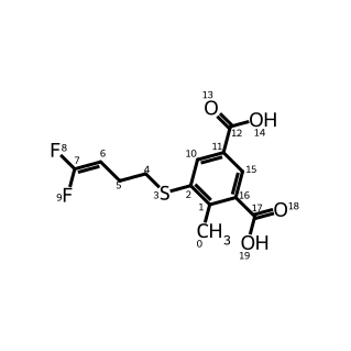 Cc1c(SCCC=C(F)F)cc(C(=O)O)cc1C(=O)O